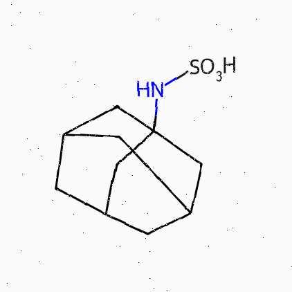 O=S(=O)(O)NC12CC3CC(CC(C3)C1)C2